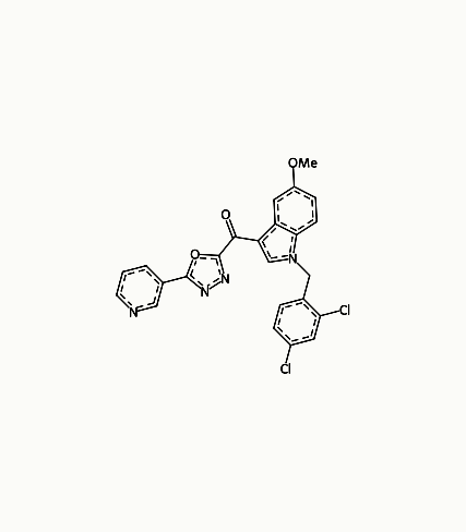 COc1ccc2c(c1)c(C(=O)c1nnc(-c3cccnc3)o1)cn2Cc1ccc(Cl)cc1Cl